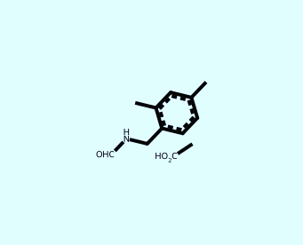 CC(=O)O.Cc1ccc(CNC=O)c(C)c1